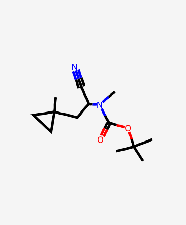 CN(C(=O)OC(C)(C)C)C(C#N)CC1(C)CC1